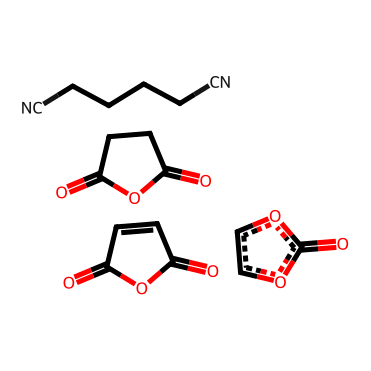 N#CCCCCC#N.O=C1C=CC(=O)O1.O=C1CCC(=O)O1.O=c1occo1